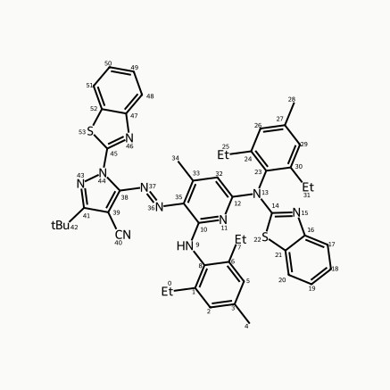 CCc1cc(C)cc(CC)c1Nc1nc(N(c2nc3ccccc3s2)c2c(CC)cc(C)cc2CC)cc(C)c1N=Nc1c(C#N)c(C(C)(C)C)nn1-c1nc2ccccc2s1